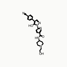 N#Cc1ccc(-c2cnn(-c3ccc(C(=O)NC4CCN(CCO)CC4)cn3)c2O)cc1